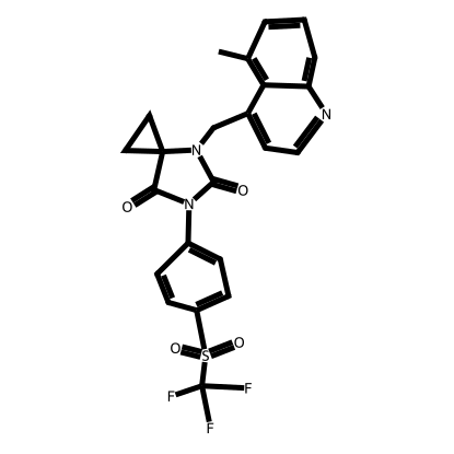 Cc1cccc2nccc(CN3C(=O)N(c4ccc(S(=O)(=O)C(F)(F)F)cc4)C(=O)C34CC4)c12